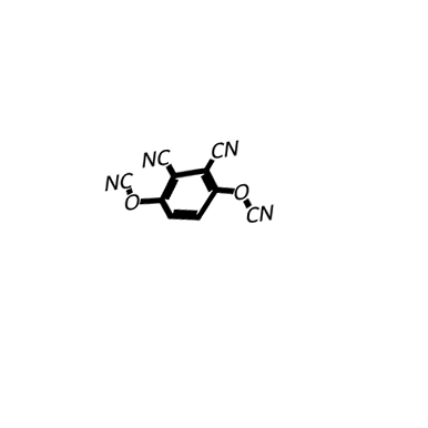 N#COc1ccc(OC#N)c(C#N)c1C#N